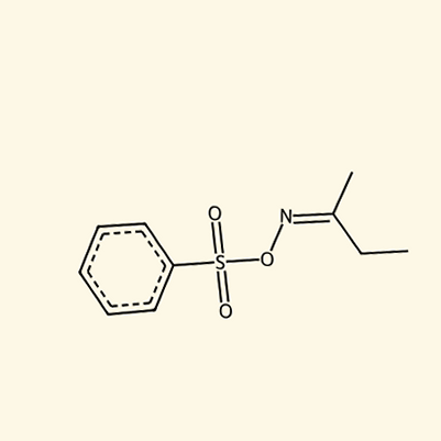 CCC(C)=NOS(=O)(=O)c1ccccc1